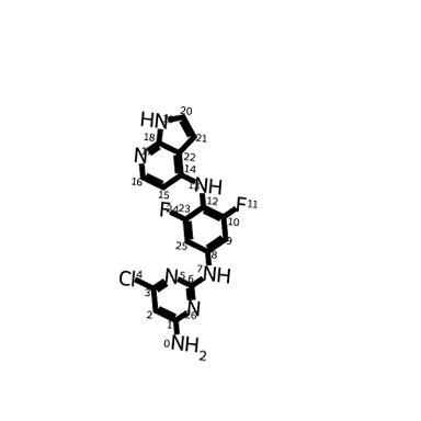 Nc1cc(Cl)nc(Nc2cc(F)c(Nc3ccnc4[nH]ccc34)c(F)c2)n1